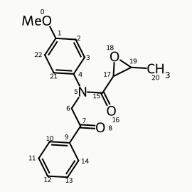 COc1ccc(N(CC(=O)c2ccccc2)C(=O)C2OC2C)cc1